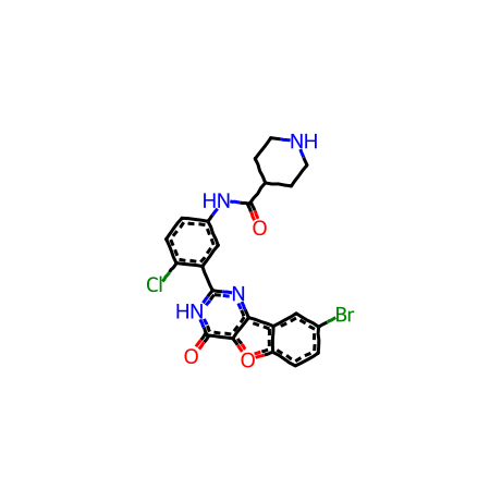 O=C(Nc1ccc(Cl)c(-c2nc3c(oc4ccc(Br)cc43)c(=O)[nH]2)c1)C1CCNCC1